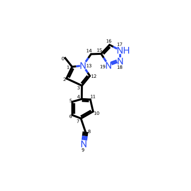 Cc1cc(-c2ccc(C#N)cc2)cn1Cc1c[nH]nn1